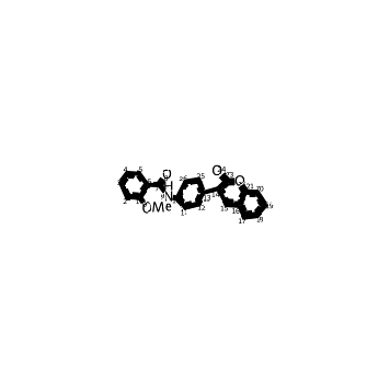 COc1ccccc1C(=O)Nc1ccc(-c2cc3ccccc3oc2=O)cc1